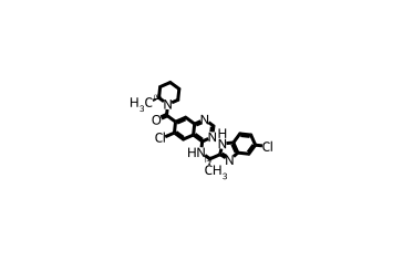 C[C@H](Nc1ncnc2cc(C(=O)N3CCCC[C@@H]3C)c(Cl)cc12)c1nc2cc(Cl)ccc2[nH]1